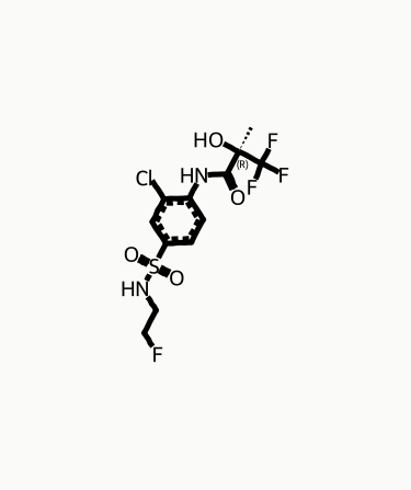 C[C@@](O)(C(=O)Nc1ccc(S(=O)(=O)NCCF)cc1Cl)C(F)(F)F